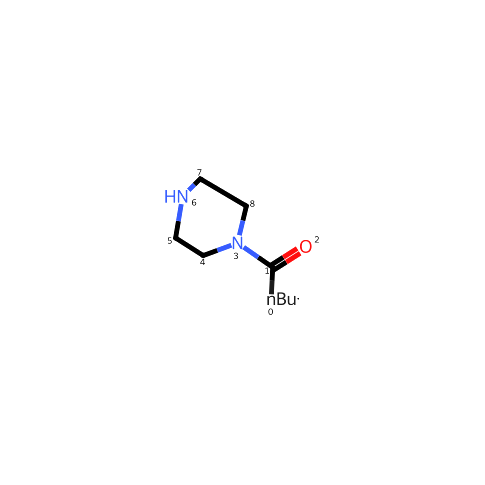 CCC[CH]C(=O)N1CCNCC1